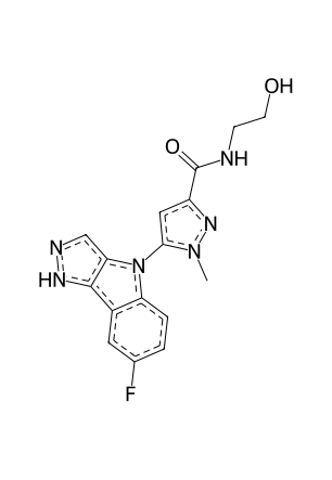 Cn1nc(C(=O)NCCO)cc1-n1c2ccc(F)cc2c2[nH]ncc21